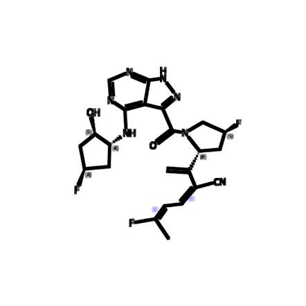 C=C(/C(C#N)=C\C=C(/C)F)[C@H]1C[C@H](F)CN1C(=O)c1n[nH]c2ncnc(N[C@@H]3C[C@@H](F)C[C@H]3O)c12